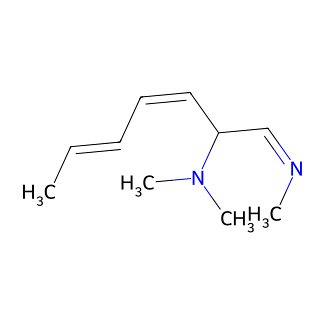 C/C=C/C=C\C(/C=N\C)N(C)C